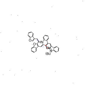 C=C/C(=C/c1c(/C=C\c2coc3ccccc23)oc2ccccc12)Nc1ccccc1-c1ccc2c(c1)c1ccccc1n2C(C)(C)C